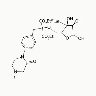 C#C[C@@]1(O)[C@@H](COC(Cc2ccc(N3CCN(C)CC3=O)cc2)(C(=O)OCC)C(=O)OCC)OC(O)[C@@H]1O